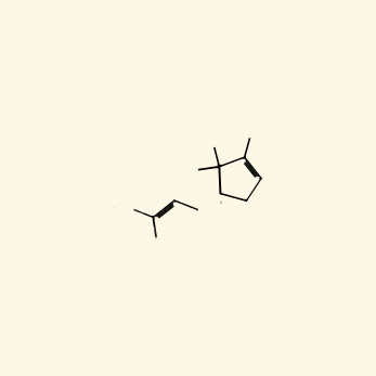 CCC(C=O)=CC[C@H]1CC=C(C)C1(C)C